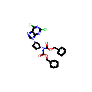 O=C(OCc1ccccc1)N(C(=O)OCc1ccccc1)[C@@H]1C=C[C@H](n2cnc3c(Cl)nc(Cl)nc32)C1